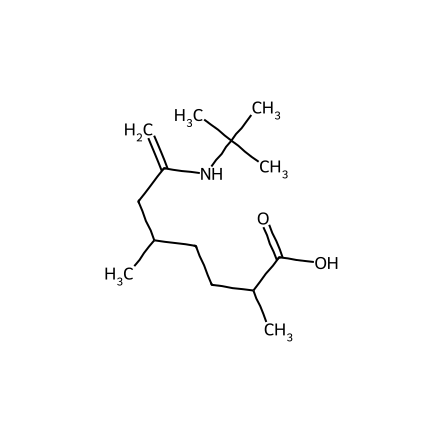 C=C(CC(C)CCC(C)C(=O)O)NC(C)(C)C